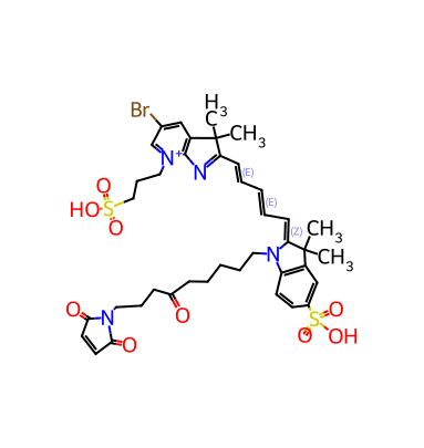 CC1(C)C(/C=C/C=C/C=C2\N(CCCCCC(=O)CCCN3C(=O)C=CC3=O)c3ccc(S(=O)(=O)O)cc3C2(C)C)=Nc2c1cc(Br)c[n+]2CCCS(=O)(=O)O